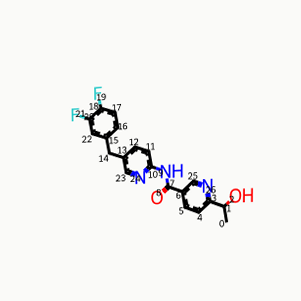 CC(O)c1ccc(C(=O)Nc2ccc(Cc3ccc(F)c(F)c3)cn2)cn1